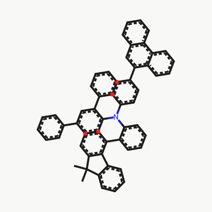 CC1(C)c2ccccc2-c2c(-c3ccccc3N(c3ccc(-c4cc5ccccc5c5ccccc45)cc3)c3ccc(-c4ccccc4)cc3-c3ccccc3)cccc21